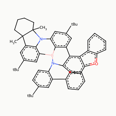 CC(C)(C)c1ccc(N2B3c4cc(C(C)(C)C)cc5c4N(c4cc(C(C)(C)C)cc(c43)-c3c2ccc2oc4ccccc4c32)C2(C)CCCCC52C)c(-c2ccccc2)c1